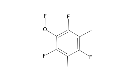 Cc1c(F)c(C)c(F)c(OF)c1F